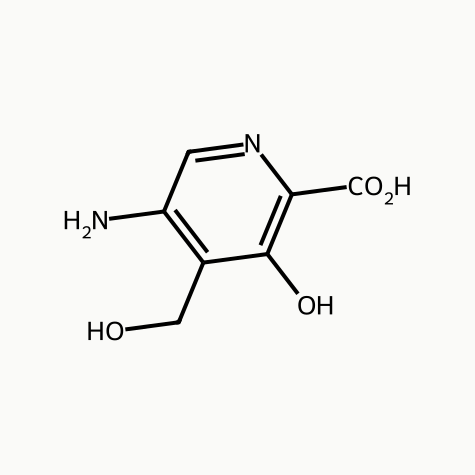 Nc1cnc(C(=O)O)c(O)c1CO